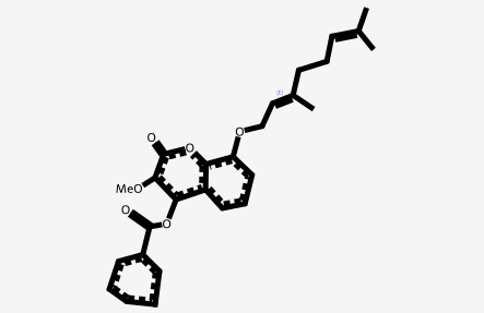 COc1c(OC(=O)c2ccccc2)c2cccc(OC/C=C(\C)CCC=C(C)C)c2oc1=O